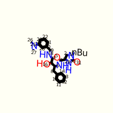 CCCCN1CC(C(=O)NC(Cc2ccccc2)C(O)CNCc2cccc(N(C)C)c2)NC1=O